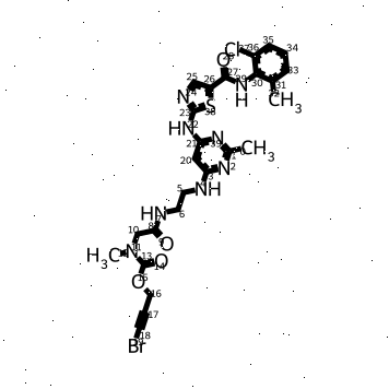 Cc1nc(NCCNC(=O)CN(C)C(=O)OCC#CBr)cc(Nc2ncc(C(=O)Nc3c(C)cccc3Cl)s2)n1